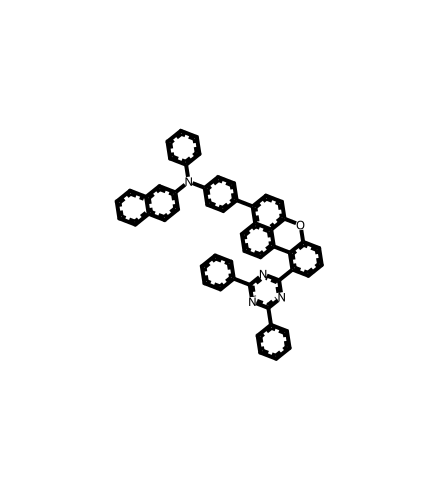 c1ccc(-c2nc(-c3ccccc3)nc(-c3cccc4c3-c3cccc5c(-c6ccc(N(c7ccccc7)c7ccc8ccccc8c7)cc6)ccc(c35)O4)n2)cc1